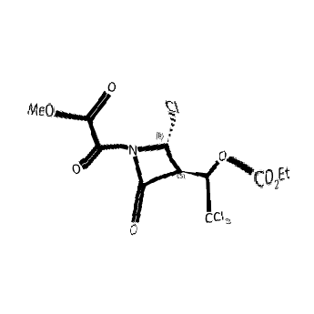 CCOC(=O)OC([C@H]1C(=O)N(C(=O)C(=O)OC)[C@@H]1Cl)C(Cl)(Cl)Cl